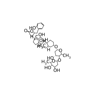 CC1O[C@@H](OC2C(C)O[C@@H](O[C@H]3CC[C@@]4(C)[C@H](CC[C@@H]5[C@@H]4C[C@@H](O)[C@]4(C)[C@@H](C6CC(=O)OC6Cc6ccccc6O)CC[C@]54O)C3)C[C@H]2O)C[C@@H](O)C1O